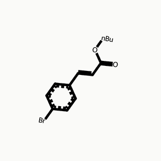 CCCCOC(=O)C=Cc1ccc(Br)cc1